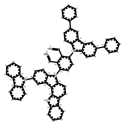 N=Cc1c(-n2c3ccc(-c4ccccc4)cc3c3cc(-c4ccccc4)ccc32)ccc(-n2c3ccc(-n4c5ccccc5c5ccccc54)cc3c3c4oc5ccccc5c4ccc32)c1C=N